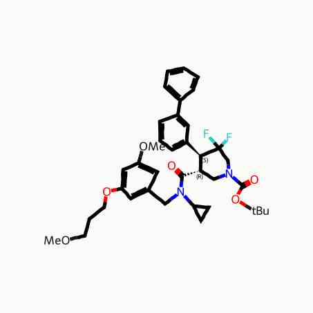 COCCCOc1cc(CN(C(=O)[C@H]2CN(C(=O)OC(C)(C)C)CC(F)(F)[C@@H]2c2cccc(-c3ccccc3)c2)C2CC2)cc(OC)c1